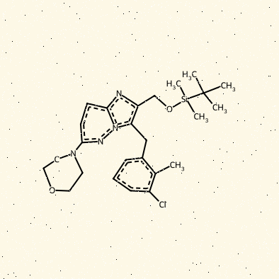 Cc1c(Cl)cccc1Cc1c(CO[Si](C)(C)C(C)(C)C)nc2ccc(N3CCOCC3)nn12